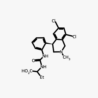 CCC(NC(=O)Nc1ccccc1[C@@H]1CN(C)Cc2c(Cl)cc(Cl)cc21)C(=O)O